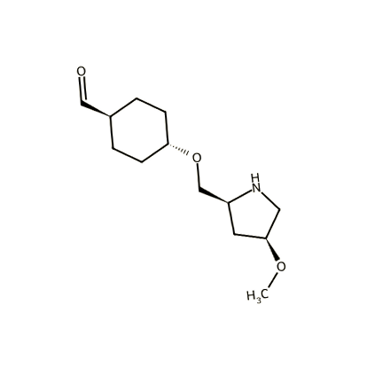 CO[C@@H]1CN[C@H](CO[C@H]2CC[C@H](C=O)CC2)C1